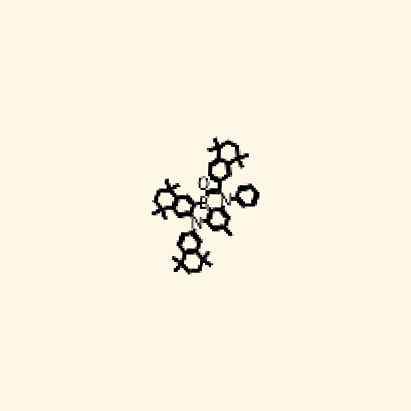 Cc1cc2c3c(c1)N(c1ccccc1)c1c(oc4cc5c(cc14)C(C)(C)CCC5(C)C)B3c1cc3c(cc1N2c1ccc2c(c1)C(C)(C)CCC2(C)C)C(C)(C)CCC3(C)C